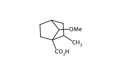 COC1C2CCC1(C(=O)O)C(C)C2